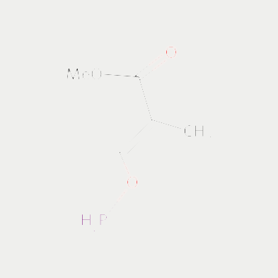 COC(=O)C(C)=COP